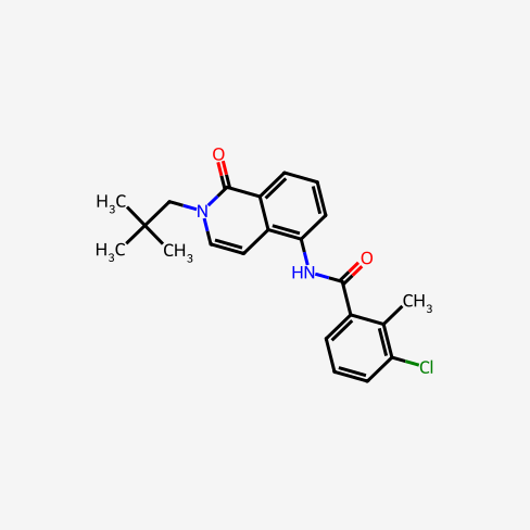 Cc1c(Cl)cccc1C(=O)Nc1cccc2c(=O)n(CC(C)(C)C)ccc12